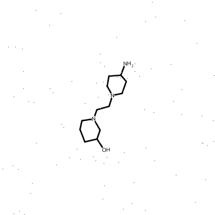 NC1CCN(CCN2CCCC(O)C2)CC1